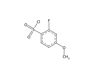 COc1ccc(S(=O)(=O)Cl)c(F)c1